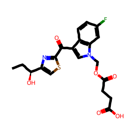 CC[C@H](O)c1csc(C(=O)c2cn(COC(=O)CCC(=O)O)c3cc(F)ccc23)n1